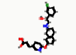 O=C(O)C=Cc1ccc(Oc2ccc3c(c2)C[C@@H](NC[C@H](O)c2cccc(Cl)c2)CC3)nc1